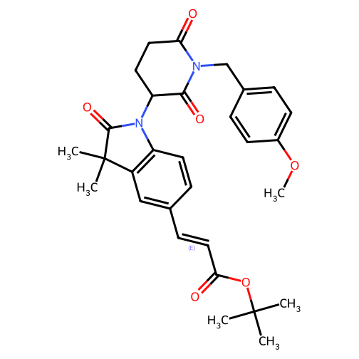 COc1ccc(CN2C(=O)CCC(N3C(=O)C(C)(C)c4cc(/C=C/C(=O)OC(C)(C)C)ccc43)C2=O)cc1